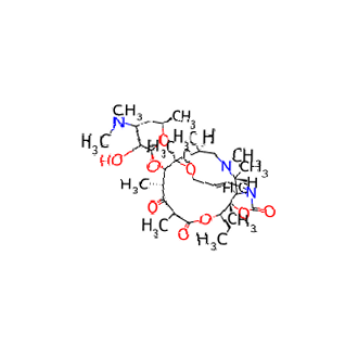 CC[C@H]1OC(=O)C(C)C(=O)[C@H](C)[C@@H](O[C@@H]2O[C@H](C)CC(N(C)C)C2O)[C@]2(C)C[C@@H](C)CN(C)[C@H](C)[C@H]3N(C/C=C\CO2)C(=O)O[C@]13C